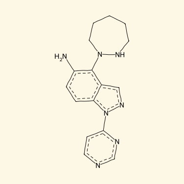 Nc1ccc2c(cnn2-c2ccncn2)c1N1CCCCCN1